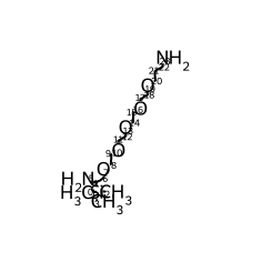 C[Si](C)(C)C(N)COCCOCCOCCOCCOCCCN